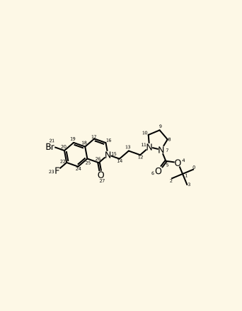 CC(C)(C)OC(=O)N1CCCN1CCCn1ccc2cc(Br)c(F)cc2c1=O